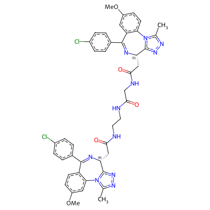 COc1ccc2c(c1)C(c1ccc(Cl)cc1)=N[C@@H](CC(=O)NCC(=O)NCCNC(=O)C[C@H]1N=C(c3ccc(Cl)cc3)c3ccc(OC)cc3-n3c(C)nnc31)c1nnc(C)n1-2